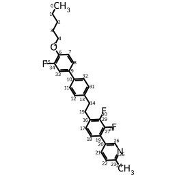 CCCCCOc1ccc(-c2ccc(CCc3ccc(-c4ccc(C)nc4)c(F)c3F)cc2)cc1F